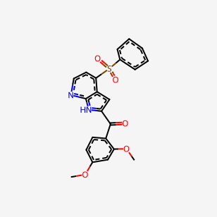 COc1ccc(C(=O)c2cc3c(S(=O)(=O)c4ccccc4)ccnc3[nH]2)c(OC)c1